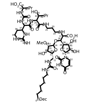 CCCCCCCCCCCCCCCCNC(=O)NC[C@H]1OC(OC(C(NCCCNC(=O)C(NC(=O)C(NC(=O)NC(C(=O)O)C(C)C)C2CCNC(=N)N2)C(O)C(C)C)C(=O)O)[C@@H]2O[C@@H](n3ccc(=O)[nH]c3=O)[C@H](O)[C@H]2O)[C@@H](OC)[C@H]1O